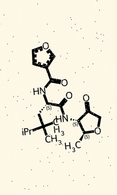 CC(C)C(C)(C)C[C@H](NC(=O)c1ccoc1)C(=O)N[C@@H]1C(=O)CO[C@H]1C